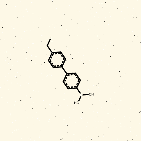 OB(O)c1ccc(-c2ccc(CI)cc2)cc1